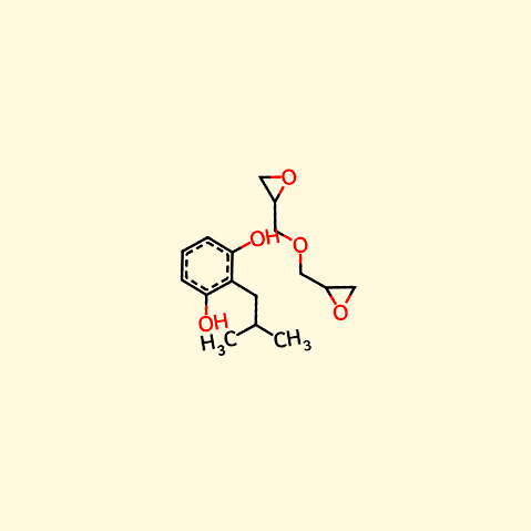 C(OCC1CO1)C1CO1.CC(C)Cc1c(O)cccc1O